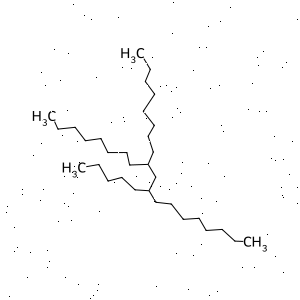 CCCCCCCCC(CCCCC)CC(CCCCCCCC)CCCCCCCC